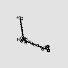 O=C(O)CCCCCCCCCCCCCCCCC(=O)N[C@@H](CCC(=O)NCCCOCCOCCOCCCNC(=O)OCC1c2ccccc2-c2ccccc21)C(=O)O